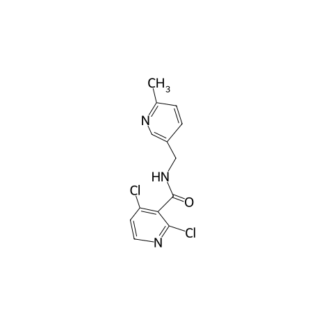 Cc1ccc(CNC(=O)c2c(Cl)ccnc2Cl)cn1